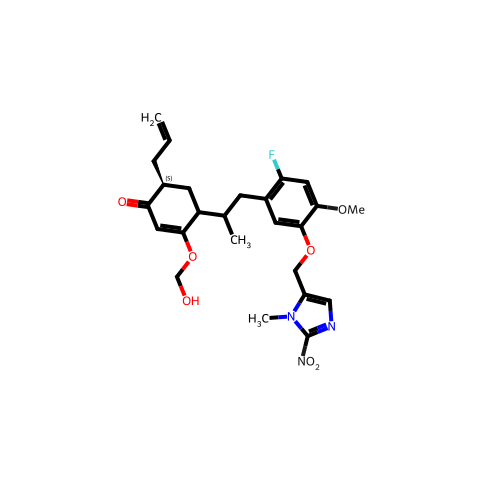 C=CC[C@H]1CC(C(C)Cc2cc(OCc3cnc([N+](=O)[O-])n3C)c(OC)cc2F)C(OCO)=CC1=O